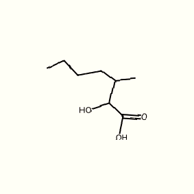 CCCCC(C)C(O)C(=O)O